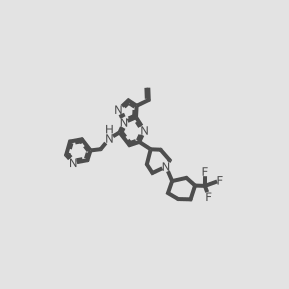 C=Cc1cnn2c(NCc3cccnc3)cc(C3CCN(C4CCCC(C(F)(F)F)C4)CC3)nc12